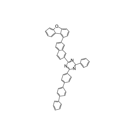 c1ccc(-c2ccc(-c3ccc(-c4nc(-c5ccccc5)nc(-c5ccc6ccc(-c7cccc8oc9ccccc9c78)cc6c5)n4)cc3)cc2)cc1